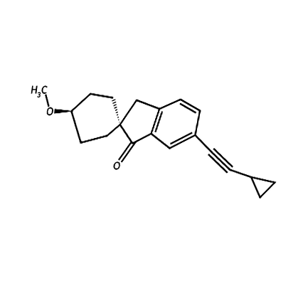 CO[C@H]1CC[C@]2(CC1)Cc1ccc(C#CC3CC3)cc1C2=O